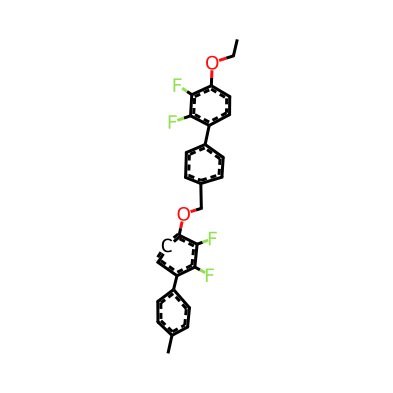 CCOc1ccc(-c2ccc(COc3ccc(-c4ccc(C)cc4)c(F)c3F)cc2)c(F)c1F